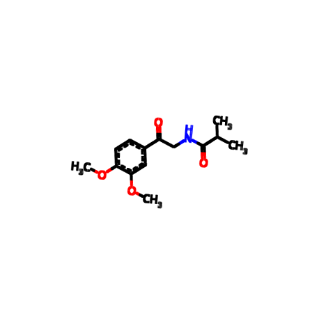 COc1ccc(C(=O)CNC(=O)C(C)C)cc1OC